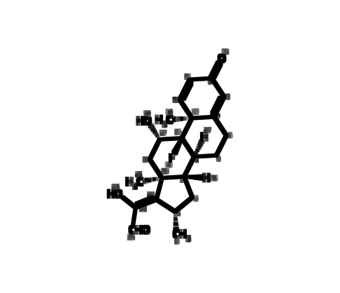 C[C@H]1C[C@H]2[C@@H]3CCC4=CC(=O)C=C[C@]4(C)[C@@]3(F)[C@@H](O)C[C@]2(C)/C1=C(\O)C=O